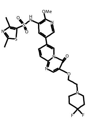 COc1ncc(-c2ccc3ncc(OCCN4CCC(F)(F)CC4)c(=O)n3c2)cc1NS(=O)(=O)c1sc(C)nc1C